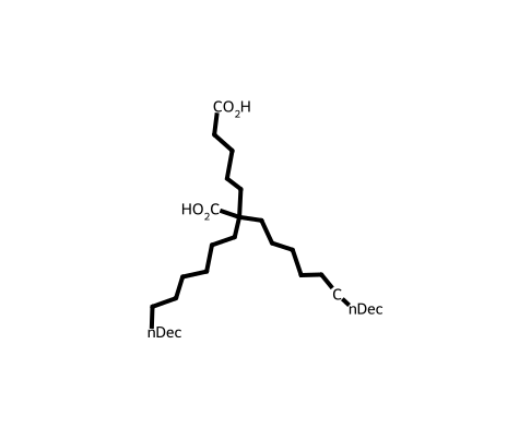 CCCCCCCCCCCCCCCCC(CCCCCCCCCCCCCCCC)(CCCCC(=O)O)C(=O)O